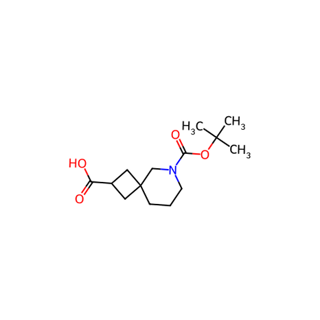 CC(C)(C)OC(=O)N1CCCC2(CC(C(=O)O)C2)C1